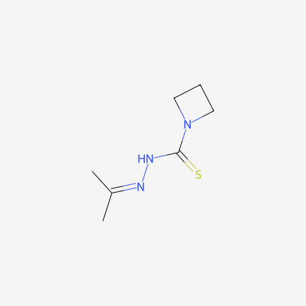 CC(C)=NNC(=S)N1CCC1